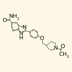 CC(=O)N1CCC(COc2ccc(-c3nc4cc(C(N)=O)ccc4[nH]3)cc2)CC1